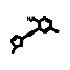 Cn1cc(C#Cc2nc(Br)cnc2N)cn1